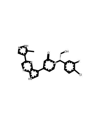 Cc1[nH]ncc1-c1cnc2[nH]cc(-c3ccn([C@H](CO)c4ccc(Cl)c(F)c4)c(=O)c3)c2n1